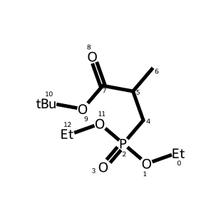 CCOP(=O)(CC(C)C(=O)OC(C)(C)C)OCC